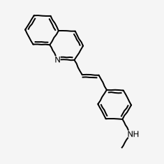 CNc1ccc(/C=C/c2ccc3ccccc3n2)cc1